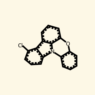 Clc1cccc2c1c1cccc3c1n2-c1ccccc1O3